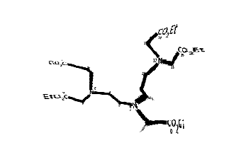 CCOC(=O)CN(CCN(CC(=O)OCC)CC(=O)OCC)CCN(CC(=O)OCC)CC(=O)OCC